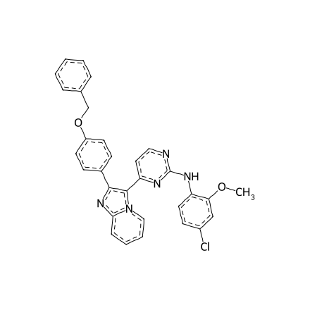 COc1cc(Cl)ccc1Nc1nccc(-c2c(-c3ccc(OCc4ccccc4)cc3)nc3ccccn23)n1